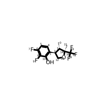 C[C@H]1[C@H](c2ccc(F)c(F)c2O)CO[C@]1(C)C(F)(F)F